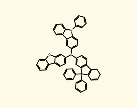 C1=CC2=C(CC1)c1ccc(N(c3ccc4c(c3)oc3ccccc34)c3ccc4c(c3)c3ccccc3n4-c3ccccc3)cc1C2(c1ccccc1)c1ccccc1